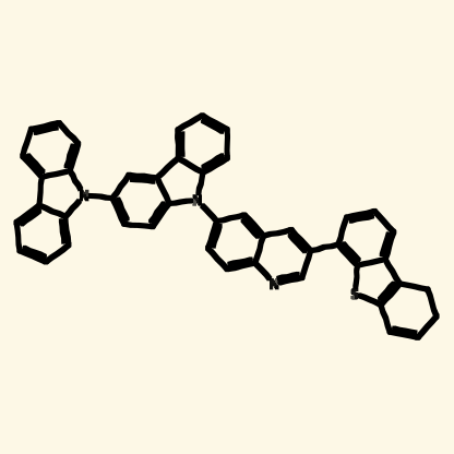 C1=Cc2sc3c(-c4cnc5ccc(-n6c7ccccc7c7cc(-n8c9ccccc9c9ccccc98)ccc76)cc5c4)cccc3c2CC1